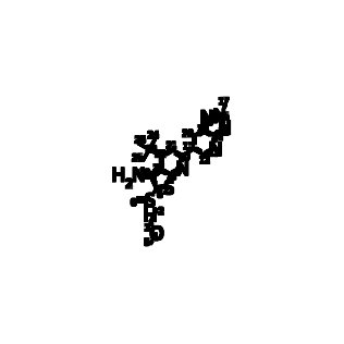 C#[SH](CCOC)c1sc2nc(-c3cnc4nn(C)nc4c3)cc(C(C)(C)C)c2c1N